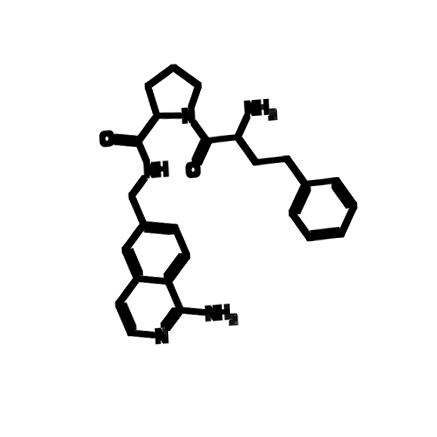 Nc1nccc2cc(CNC(=O)C3CCCN3C(=O)C(N)CCc3ccccc3)ccc12